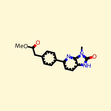 COC(=O)Cc1ccc(-c2ccc3[nH]c(=O)n(C)c3n2)cc1